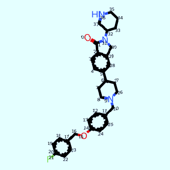 O=C1c2ccc(C3CCN(Cc4ccc(OCc5ccc(F)cc5)cc4)CC3)cc2CN1C1CCCNC1